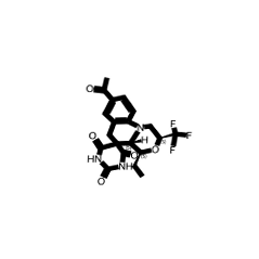 CC[C@@H]1O[C@H](C(F)(F)F)CN2c3ccc(C(C)=O)cc3CC3(C(=O)NC(=O)NC3=O)[C@@H]12